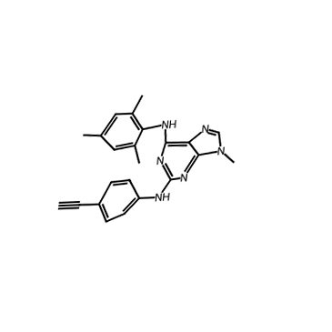 C#Cc1ccc(Nc2nc(Nc3c(C)cc(C)cc3C)c3ncn(C)c3n2)cc1